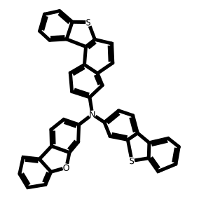 c1ccc2c(c1)oc1cc(N(c3ccc4c(ccc5sc6ccccc6c54)c3)c3ccc4c(c3)sc3ccccc34)ccc12